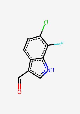 O=Cc1c[nH]c2c(F)c(Cl)ccc12